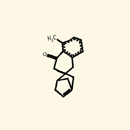 Cc1cccc2c1C(=O)CC1(CC3=CCC1C3)C2